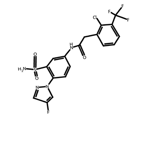 NS(=O)(=O)c1cc(NC(=O)Cc2cccc(C(F)(F)F)c2Cl)ccc1-n1cc(F)cn1